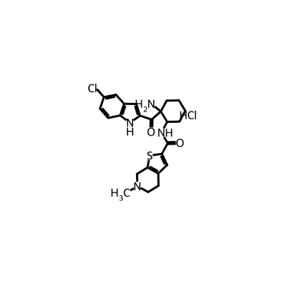 CN1CCc2cc(C(=O)NC3CCCCC3(N)C(=O)c3cc4cc(Cl)ccc4[nH]3)sc2C1.Cl